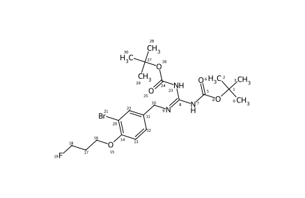 CC(C)(C)OC(=O)NC(=NCc1ccc(OCCCF)c(Br)c1)NC(=O)OC(C)(C)C